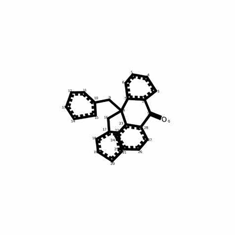 O=C1c2ccccc2C(Cc2ccccc2)(Cc2ccccc2)c2ccccc21